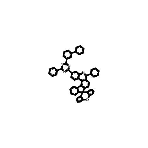 c1ccc(-c2cccc(-c3nc(-c4ccccc4)nc(-c4ccc5c(c4)nc(-c4ccccc4)c4ccc6c(c45)-c4ccccc4C64c5ccccc5Oc5ccccc54)n3)c2)cc1